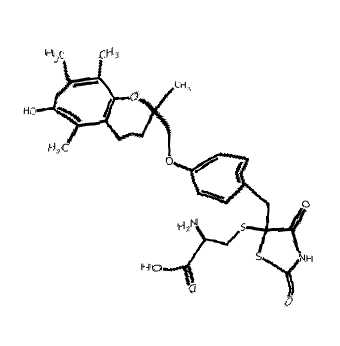 Cc1c(C)c2c(c(C)c1O)CCC(C)(COc1ccc(CC3(SCC(N)C(=O)O)SC(=O)NC3=O)cc1)O2